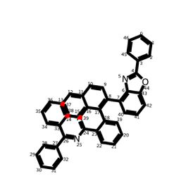 c1ccc(-c2nc3c(-c4ccc5ccccc5c4-c4ccccc4-c4nc(-c5ccccc5)c5ccccc5n4)cccc3o2)cc1